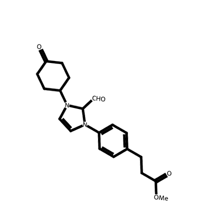 COC(=O)CCc1ccc(N2C=CN(C3CCC(=O)CC3)C2C=O)cc1